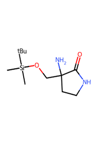 CC(C)(C)[Si](C)(C)OCC1(N)CCNC1=O